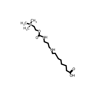 C[Si](C)(C)CCOC(=O)NCCCNCCCCCCCC(=O)O